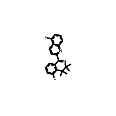 CC1(C)N=C(c2ccc3c(F)cccc3n2)c2cccc(F)c2C1(C)C